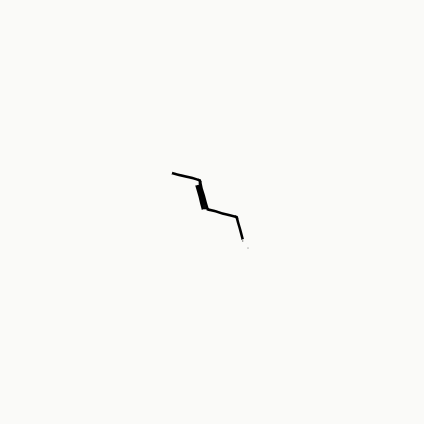 CC=C[CH]Br